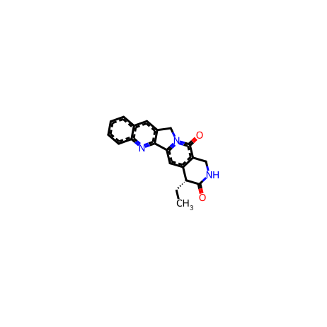 CC[C@H]1C(=O)NCc2c1cc1n(c2=O)Cc2cc3ccccc3nc2-1